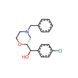 O[C@H](c1ccc(Cl)cc1)[C@H]1CN(Cc2ccccc2)CCO1